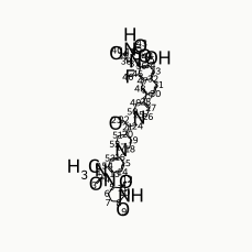 Cn1c(=O)n(C2CCC(=O)NC2=O)c2ccc(N3CCC(C(C=O)CN4CC=C(c5ccc6cc(O)c(N7CC(=O)NS7(=O)=O)c(F)c6c5)CC4)CC3)cc21